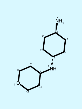 N[C@H]1CC[C@H](NC2CCOCC2)CC1